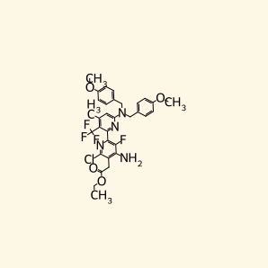 CCOC(=O)Cc1c(Cl)nc(-c2nc(N(Cc3ccc(OC)cc3)Cc3ccc(OC)cc3)cc(C)c2C(F)(F)F)c(F)c1N